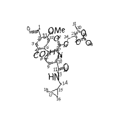 C=Cc1cc(C(=O)O)c(-c2ccc(C(=O)NCC3CC3C)nc2C(=O)OCc2oc(=O)oc2C)cc1OC